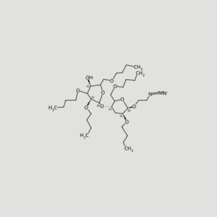 CCCCOCC1O[C@@H](O[C@H]2C[C@H](OCCCC)[C@H](OCCN=[N+]=[N-])OC2COCCCC)[C@@H](OCCCC)C(OCCCC)[C@H]1O